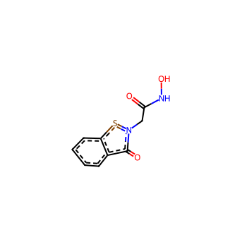 O=C(Cn1sc2ccccc2c1=O)NO